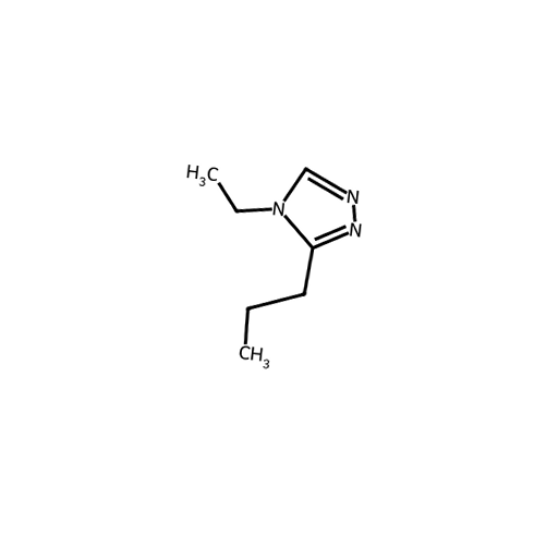 CCCc1nncn1CC